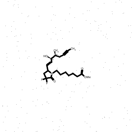 CC#CC[C@H](C)[C@H](O)C=CC1CC(F)(F)C(=O)N1CCCCCCC(=O)OC